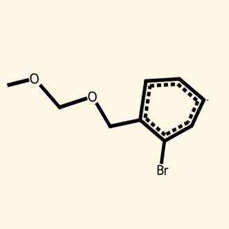 COCOCc1cc[c]cc1Br